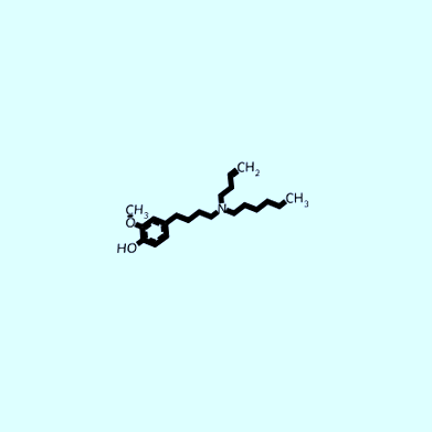 C=CCCN(CCCCCC)CCCCc1ccc(O)c(OC)c1